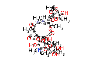 CC[C@H]1OC(=O)C[C@@H](O)[C@H](C)[C@@H](O[C@@H]2O[C@H](C)C(O[C@H]3CC(C)(O)C(O)[C@@H](C)O3)C(N(C)C)C2O)[C@@H](CC=O)C[C@@H](C)C(=O)/C=C/C(C)=C/[C@@H]1CO[C@]1(C)OC(C)C(O)C(OC)[C@@H]1OC